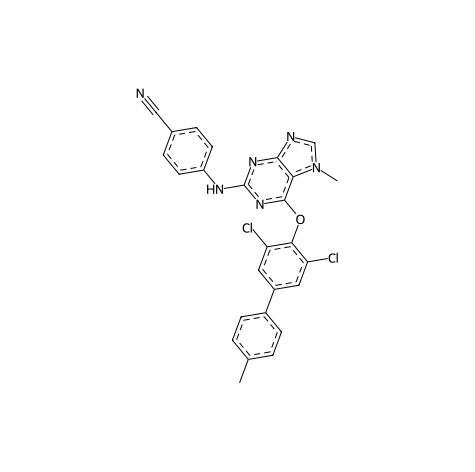 Cc1ccc(-c2cc(Cl)c(Oc3nc(Nc4ccc(C#N)cc4)nc4ncn(C)c34)c(Cl)c2)cc1